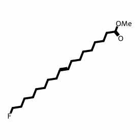 COC(=O)CCCCCCCC=CCCCCCCCCF